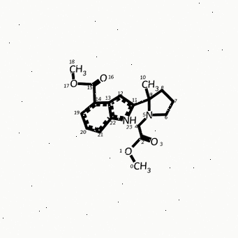 COC(=O)CN1CCCC1(C)c1cc2c(C(=O)OC)cccc2[nH]1